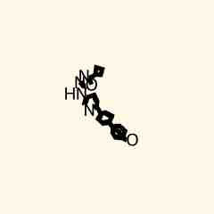 O=CC12CCC(c3ccc(-c4ccc(Nc5nnc(C6CCC6)o5)cn4)cc3)(CC1)OC2